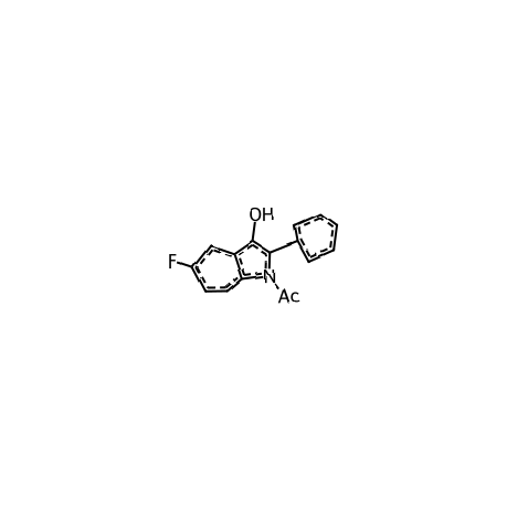 CC(=O)n1c(-c2ccccc2)c(O)c2cc(F)ccc21